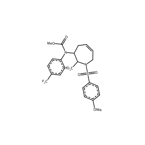 COC(=O)N(c1ccc(C(F)(F)F)cc1)C1CC=CCN(S(=O)(=O)c2ccc(OC)cc2)C1C(=O)O